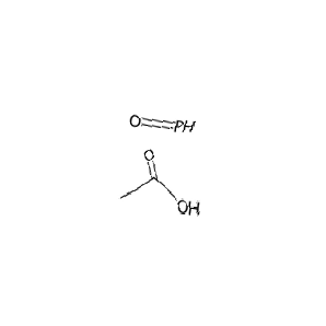 CC(=O)O.O=P